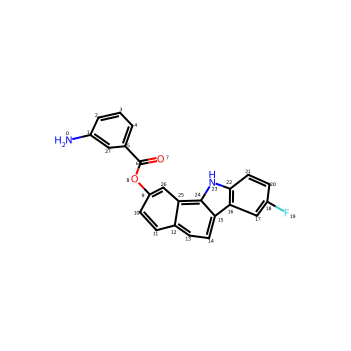 Nc1cccc(C(=O)Oc2ccc3ccc4c5cc(F)ccc5[nH]c4c3c2)c1